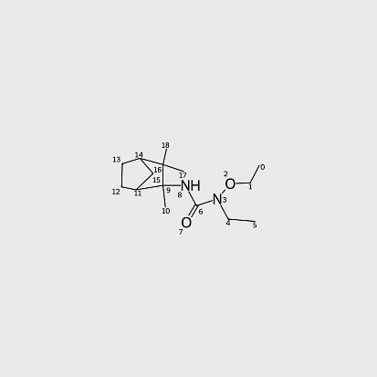 CCON(CC)C(=O)NC1(C)C2CCC(C2)C1(C)C